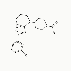 COC(=O)C1CCN(C2CCCn3nc(-c4cccc(Cl)c4C)cc32)CC1